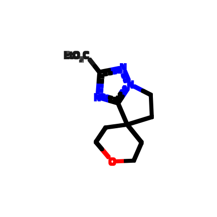 CCOC(=O)c1nc2n(n1)CCC21CCOCC1